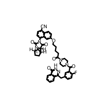 N#Cc1ccc(N2C(=O)[C@@H]3[C@@H]4CC[C@@H](C4)N3C2=O)c2cc(OCCCCC(=O)N3CCN(C(=O)c4cc(Cc5n[nH]c(=O)c6ccccc56)ccc4F)CC3)ccc12